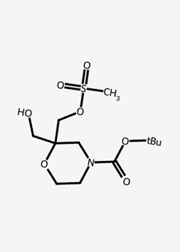 CC(C)(C)OC(=O)N1CCOC(CO)(COS(C)(=O)=O)C1